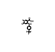 Cn1cc(C(=O)O)c(Nc2ccc(C(F)(F)F)cc2)cc1=O